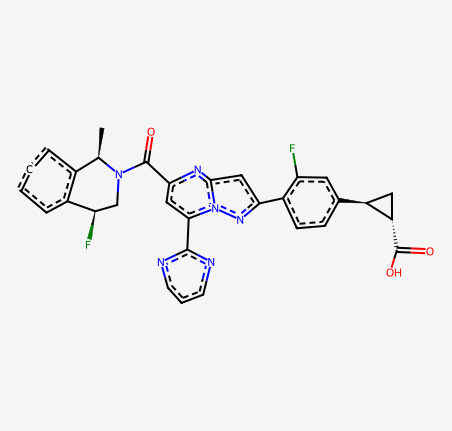 C[C@@H]1c2ccccc2[C@H](F)CN1C(=O)c1cc(-c2ncccn2)n2nc(-c3ccc([C@H]4C[C@@H]4C(=O)O)cc3F)cc2n1